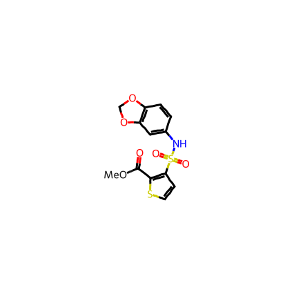 COC(=O)c1sccc1S(=O)(=O)Nc1ccc2c(c1)OCO2